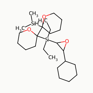 CC[Si](CC)(C1OC1C1CCCCC1)C1(C2([SiH](C)C)CCCCO2)CCCCO1